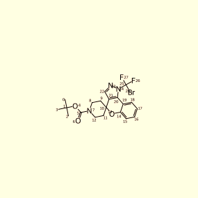 CC(C)(C)OC(=O)N1CCC2(CC1)Oc1ccccc1-c1c2cnn1C(F)(F)Br